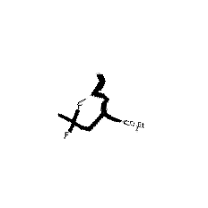 C=CCC(CC(C)(F)F)C(=O)OCC